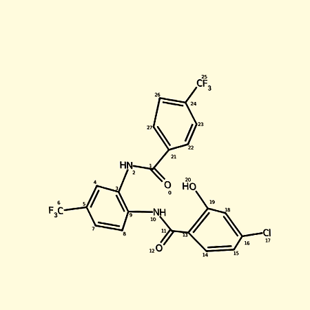 O=C(Nc1cc(C(F)(F)F)ccc1NC(=O)c1ccc(Cl)cc1O)c1ccc(C(F)(F)F)cc1